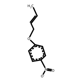 CC=CCOc1ccc([N+](=O)[O-])cc1